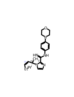 CC/C=C\[C@](C)(C(C)C)n1ccnc1C(=N)Nc1ccc(N2CCOCC2)cc1